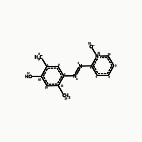 Cc1cc(N=Nc2cccc[n+]2[O-])c(C)cc1O